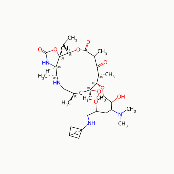 CC[C@H]1OC(=O)C(C)C(=O)[C@H](C)[C@@H](OC2OC(CNC34CC(C3)C4)CC(N(C)C)C2O)[C@](C)(OC)C[C@@H](C)CN[C@H](C)[C@H]2NC(=O)O[C@@]21C